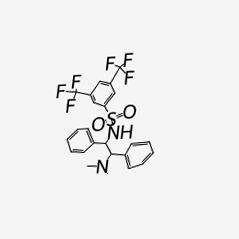 CN(C)C(c1ccccc1)C(NS(=O)(=O)c1cc(C(F)(F)F)cc(C(F)(F)F)c1)c1ccccc1